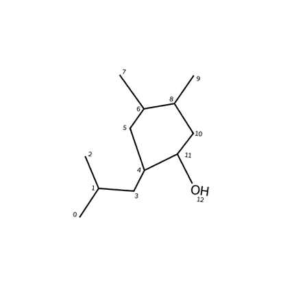 CC(C)CC1CC(C)C(C)CC1O